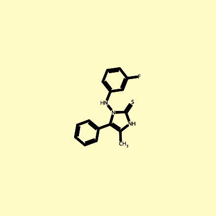 Cc1[nH]c(=S)n(Nc2cccc(F)c2)c1-c1ccccc1